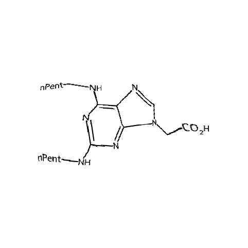 CCCCCNc1nc(NCCCCC)c2ncn(CC(=O)O)c2n1